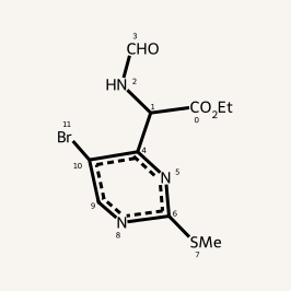 CCOC(=O)C(NC=O)c1nc(SC)ncc1Br